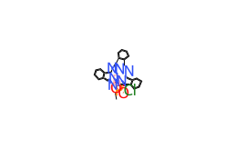 CCP(=O)(CCl)OB1n2c3c4ccccc4c2/N=C2N=C(/N=c4/c5ccccc5c(n41)=N3)c1ccccc1\2